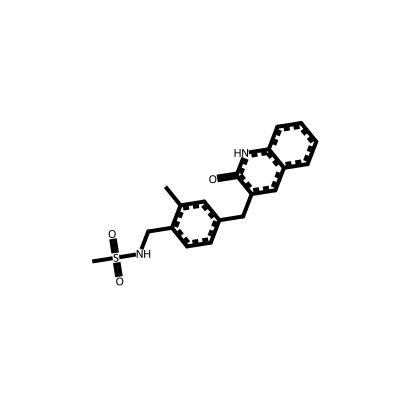 Cc1cc(Cc2cc3ccccc3[nH]c2=O)ccc1CNS(C)(=O)=O